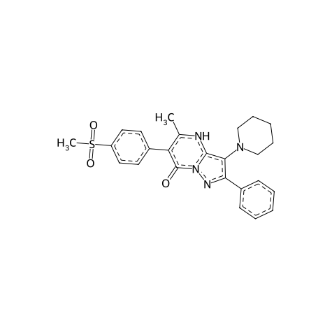 Cc1[nH]c2c(N3CCCCC3)c(-c3ccccc3)nn2c(=O)c1-c1ccc(S(C)(=O)=O)cc1